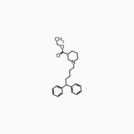 CCOC(=O)C1CCCN(CCCCC(c2ccccc2)c2ccccc2)C1